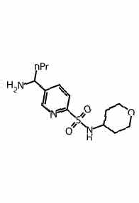 CCCC(N)c1ccc(S(=O)(=O)NC2CCOCC2)nc1